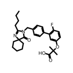 CCCCC1=NC2(CCCCC2)C(=O)N1Cc1ccc(-c2cc(OC(C)(C)C(=O)O)ccc2F)cc1